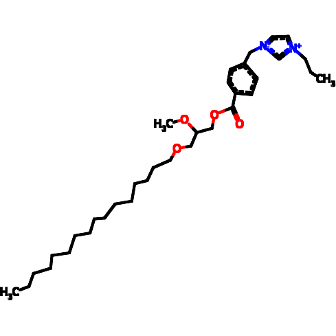 CCCCCCCCCCCCCCCCOCC(COC(=O)c1ccc(Cn2cc[n+](CCC)c2)cc1)OC